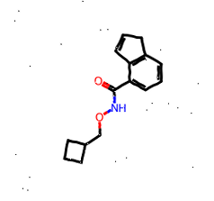 O=C(NOCC1CCC1)c1cccc2c1C=CC2